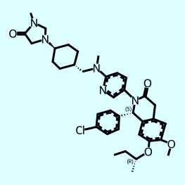 CC[C@@H](C)Oc1cc2c(cc1OC)CC(=O)N(c1ccc(N(C)C[C@H]3CC[C@H](N4CC(=O)N(C)C4)CC3)nc1)[C@H]2c1ccc(Cl)cc1